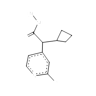 NNC(=O)C(c1ccnc(Br)c1)C1CCC1